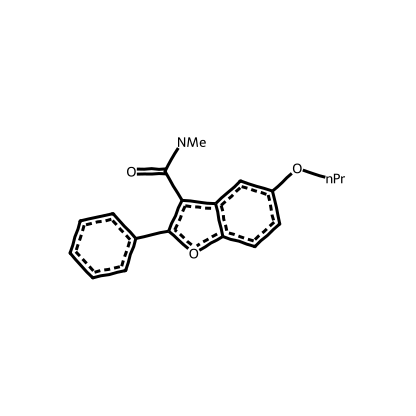 CCCOc1ccc2oc(-c3ccccc3)c(C(=O)NC)c2c1